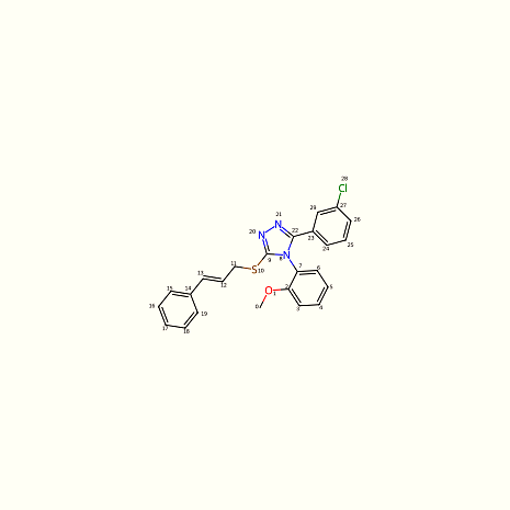 COc1ccccc1-n1c(SCC=Cc2ccccc2)nnc1-c1cccc(Cl)c1